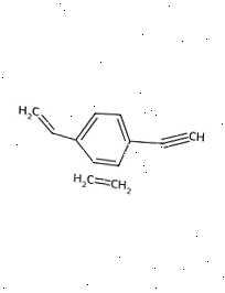 C#Cc1ccc(C=C)cc1.C=C